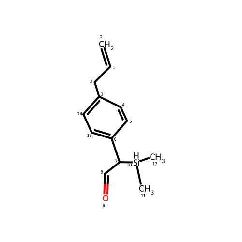 C=CCc1ccc(C(C=O)[SiH](C)C)cc1